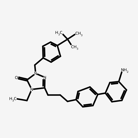 CCn1c(CCCc2ccc(-c3cccc(N)c3)cc2)nn(Cc2ccc(C(C)(C)C)cc2)c1=O